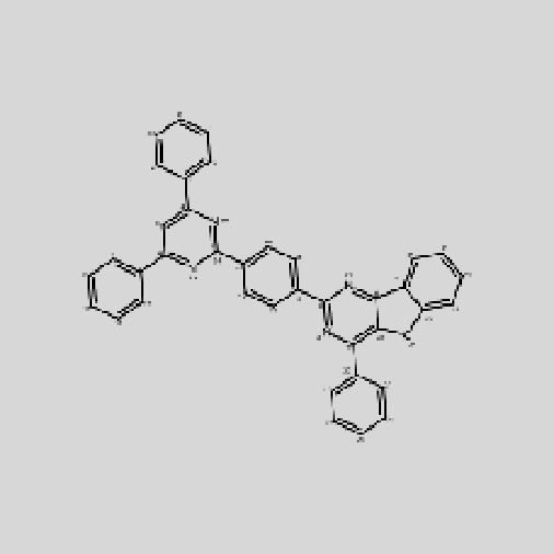 c1ccc(-c2cc(-c3ccccc3)nc(-c3ccc(-c4nc(-c5ccccc5)c5oc6ccccc6c5n4)cc3)n2)cc1